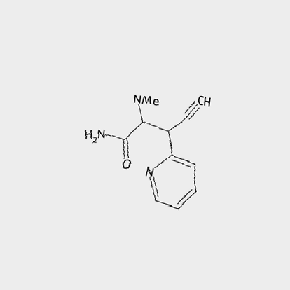 C#CC(c1ccccn1)C(NC)C(N)=O